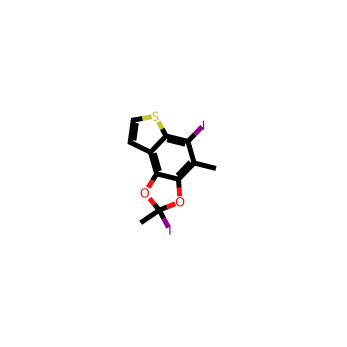 Cc1c2c(c3ccsc3c1I)OC(C)(I)O2